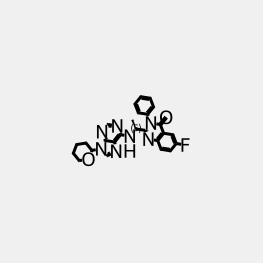 C[C@H](Nc1ncnc2c1ncn2C1CCCCO1)c1nc2ccc(F)cc2c(=O)n1-c1ccccc1